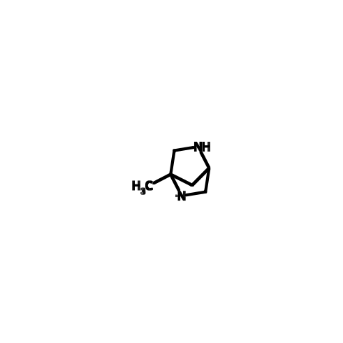 CC12CNC(C[N]1)C2